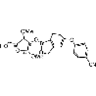 COC1[C@@H](CO)O[C@@H](OC)[C@H]1OB1OCc2cc(Oc3ccc(C#N)cc3)ccc21